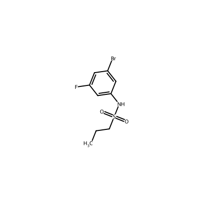 CCCS(=O)(=O)Nc1cc(F)cc(Br)c1